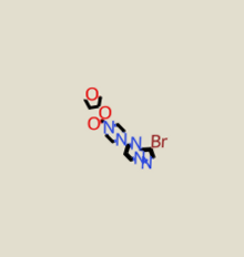 O=C(OC1CCOC1)N1CCN(c2ccn3ncc(Br)c3n2)CC1